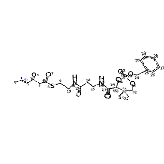 C/C=C/C(=O)CC(=O)SCCNC(=O)CCNC(=O)[C@H]1OP(=O)(OCc2ccccc2)OCC1(C)C